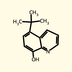 CC(C)(C)c1ccc(O)c2ncccc12